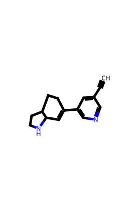 C#Cc1cncc(C2=CC3NCCC3CC2)c1